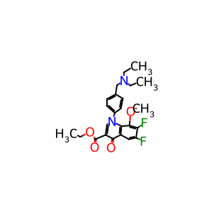 CCOC(=O)c1cn(-c2ccc(CN(CC)CC)cc2)c2c(OC)c(F)c(F)cc2c1=O